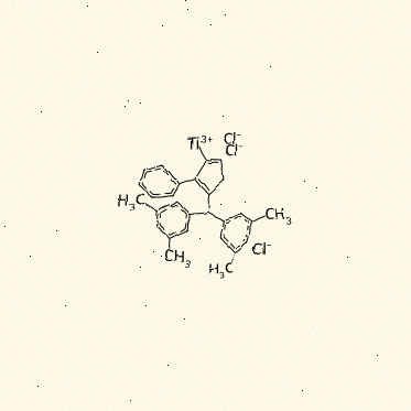 Cc1cc(C)cc(C(C2=C(c3ccccc3)[C]([Ti+3])=CC2)c2cc(C)cc(C)c2)c1.[Cl-].[Cl-].[Cl-]